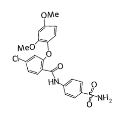 COc1ccc(Oc2cc(Cl)ccc2C(=O)Nc2ccc(S(N)(=O)=O)cc2)c(OC)c1